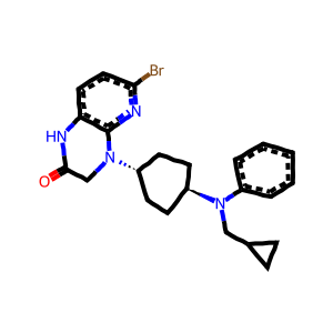 O=C1CN([C@H]2CC[C@H](N(CC3CC3)c3ccccc3)CC2)c2nc(Br)ccc2N1